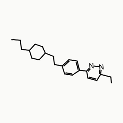 CCCC1CCC(CCc2ccc(-c3ccc(CC)nn3)cc2)CC1